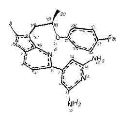 Cc1nc2ccc(-c3cc(N)nc(N)c3)nc2n1C[C@@H](C)Oc1ccc(F)cc1